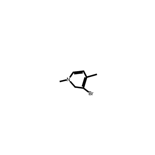 CC1=C(Br)CN(C)C=C1